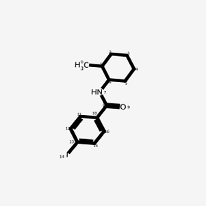 CC1CCCCC1NC(=O)c1ccc(I)cc1